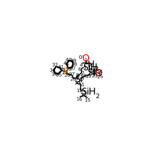 COC(C)(C)[SiH2]CCC[Si](CCC[SiH2]C(C)C)(CCC[SiH2]C(C)(C)OC)CCCP(c1ccccc1)c1ccccc1